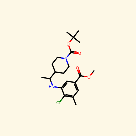 COC(=O)c1cc(C)c(Cl)c(NC(C)C2CCN(C(=O)OC(C)(C)C)CC2)c1